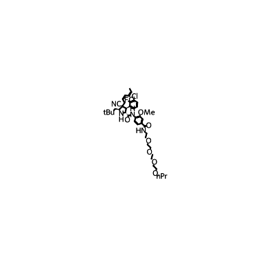 C/C=C(Cl)\C=C/C[C@@]1(C#N)[C@H](CC(C)(C)C)N[C@@H](C(=O)Nc2ccc(C(=O)NCCOCCOCCOCCOCCC)cc2OC)[C@@H]1c1cccc(Cl)c1F